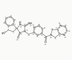 CC(C)CCC1(c2ccccc2)NC(=N)N(Cc2cc(C(=O)N3Cc4nccnc4C3)ccn2)C1=O